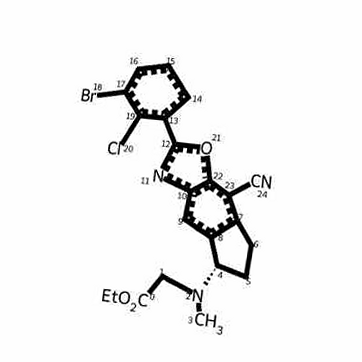 CCOC(=O)CN(C)[C@H]1CCc2c1cc1nc(-c3cccc(Br)c3Cl)oc1c2C#N